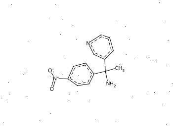 CC(N)(c1ccc([N+](=O)[O-])cc1)c1cccnc1